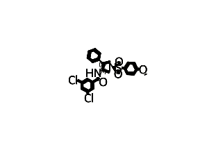 COc1ccc(S(=O)(=O)N2C[C@H](NC(=O)c3cc(Cl)cc(Cl)c3)[C@@H](c3ccccc3)C2)cc1